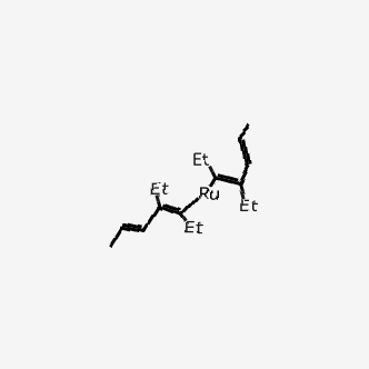 CC=CC(CC)=[C](CC)[Ru][C](CC)=C(C=CC)CC